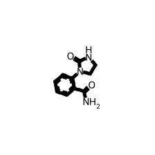 NC(=O)c1ccccc1N1CCNC1=O